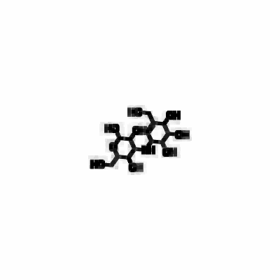 OCC1=CC(NC2C(O)C(O)OC(CO)C2O)C(O)C(O)C1O